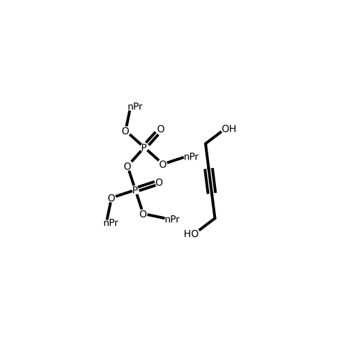 CCCOP(=O)(OCCC)OP(=O)(OCCC)OCCC.OCC#CCO